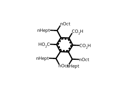 CCCCCCCCC(CCCCCCC)c1c(C(=O)O)c(C(=O)O)c(C(CCCCCCC)CCCCCCCC)c(C(CCCCCCC)CCCCCCCC)c1C(=O)O